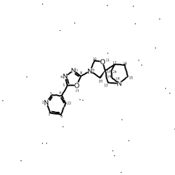 c1cncc(-c2nnc(N3CO[C@]4(CN5CCC4CC5)C3)o2)c1